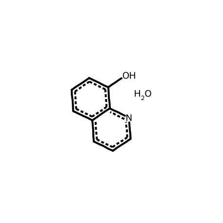 O.Oc1cccc2cccnc12